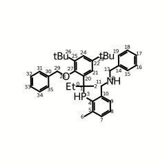 CCC(C)(Pc1c(C)cccc1CNCc1ccccc1)c1cc(C(C)(C)C)cc(C(C)(C)C)c1OCc1ccccc1